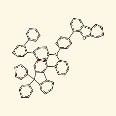 c1ccc(-c2ccccc2-c2ccc(N(c3ccc(-c4cccc5c4oc4ccccc45)cc3)c3ccccc3-c3cccc4c3-c3ccccc3C4(c3ccccc3)c3ccccc3)cc2)cc1